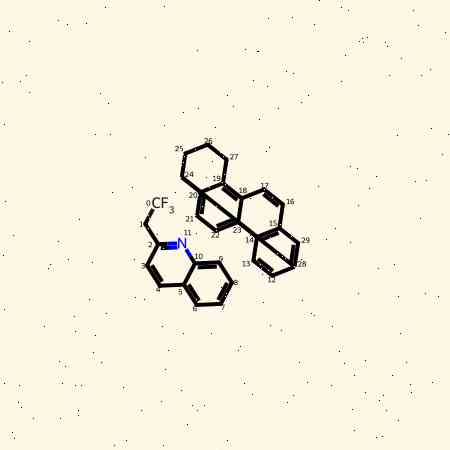 FC(F)(F)Cc1ccc2ccccc2n1.c1cc2c3ccc4c5c(ccc42)C(CCC5)c1c3